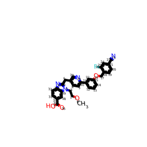 COCCn1c(Cc2ccc(-c3cccc(OCc4ccc(C#N)cc4F)c3)nc2)nc2ccc(C(=O)O)cc21